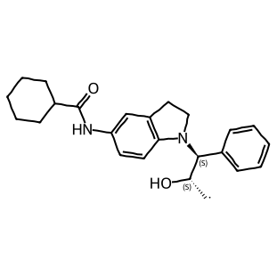 [CH2][C@H](O)[C@H](c1ccccc1)N1CCc2cc(NC(=O)C3CCCCC3)ccc21